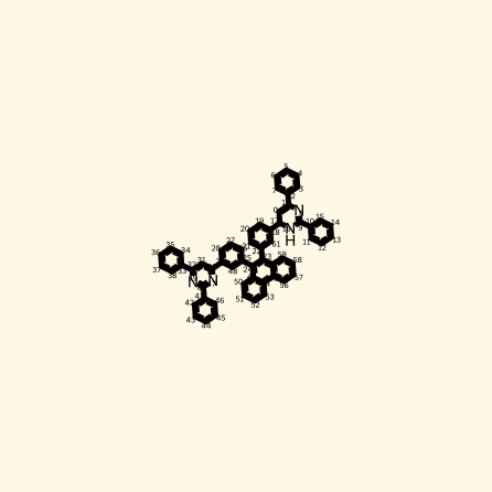 C1=C(c2ccccc2)N=C(c2ccccc2)NC1c1cccc(-c2c(-c3cccc(-c4cc(-c5ccccc5)nc(-c5ccccc5)n4)c3)c3ccccc3c3ccccc23)c1